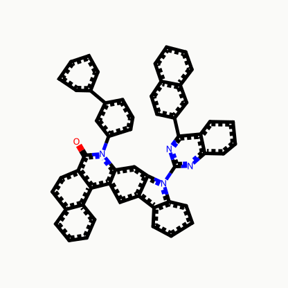 O=c1c2ccc3ccccc3c2c2cc3c4ccccc4n(-c4nc(-c5ccc6ccccc6c5)c5ccccc5n4)c3cc2n1-c1cccc(-c2ccccc2)c1